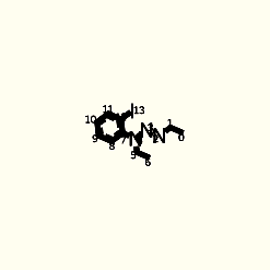 CCN=NN(CC)c1ccccc1I